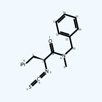 CC(C)C[C@H](N=C=S)C(=O)N(C)Cc1ccccc1